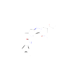 CCC(O)C1CN(C)C(=O)c2c3c(nn2C1)CC(C)N(C(=O)Nc1ccc(F)c(Br)c1)C3